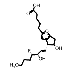 CCCC[C@H](F)[C@@H](O)C=C[C@@H]1c2cc(CCCCC(=O)O)oc2C[C@H]1O